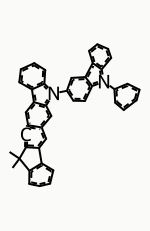 CC1(C)c2ccccc2-c2cc3cc4c(cc3cc21)c1ccccc1n4-c1ccc2c(c1)c1ccccc1n2-c1ccccc1